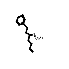 C=CCCC(CCc1ccccc1)=NOC